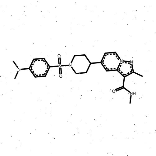 CNC(=O)c1c(C)nn2ccc(C3CCN(S(=O)(=O)c4ccc(N(C)C)cc4)CC3)cc12